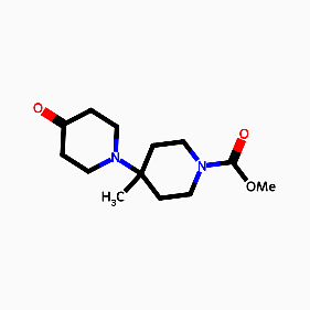 COC(=O)N1CCC(C)(N2CCC(=O)CC2)CC1